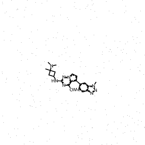 COc1nc(NC2CC(C)(N(C)C)C2)nn2ccc(-c3ccc4nnn(C)c4c3)c12